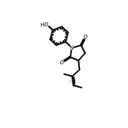 C/C=C(/C)CC1CC(=O)N(c2ccc(O)cc2)C1=O